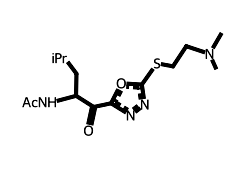 CC(=O)NC(CC(C)C)C(=O)c1nnc(SCCN(C)C)o1